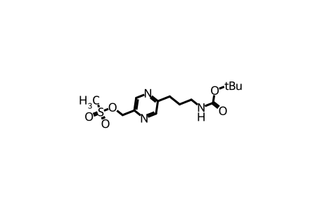 CC(C)(C)OC(=O)NCCCc1cnc(COS(C)(=O)=O)cn1